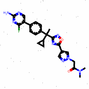 CN(C)C(=O)Cn1cc(-c2nc(C(C)(c3ccc(-c4cnc(N)nc4F)cc3)C3CC3)no2)cn1